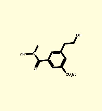 CCCN(C)C(=O)c1cc(CCO)cc(C(=O)OCC)c1